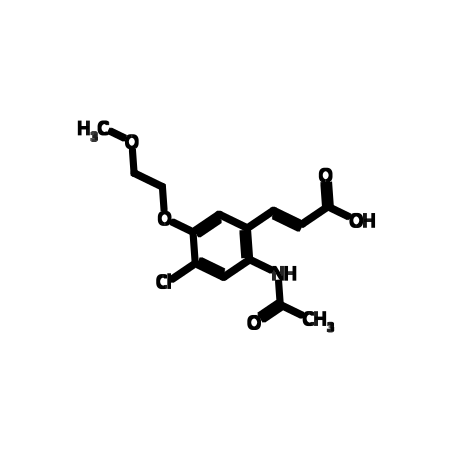 COCCOc1cc(/C=C/C(=O)O)c(NC(C)=O)cc1Cl